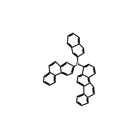 c1ccc2cc(N(c3ccc4c(ccc5ccccc54)c3)c3cccc4c3ccc3c5ccccc5ccc43)ccc2c1